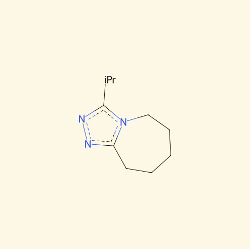 CC(C)c1nnc2n1CCCCC2